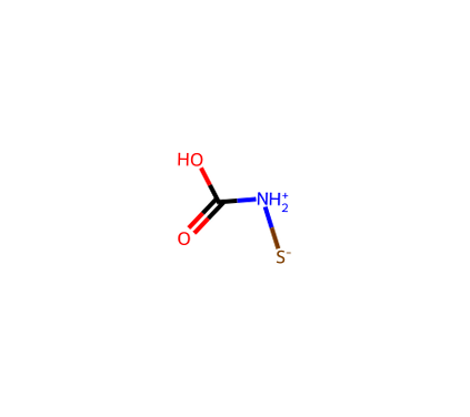 O=C(O)[NH2+][S-]